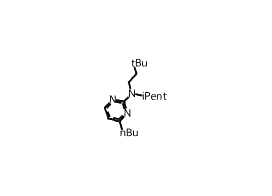 CCCCc1ccnc(N(CCC(C)(C)C)C(C)CCC)n1